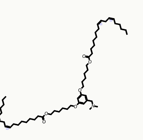 CCCCC/C=C\C/C=C\CCCCCCCC(=O)OCCCCCCOc1cc(CN(C)C)cc(OCCCCCCOC(=O)CCCCCCC/C=C\C/C=C\CCCCC)c1